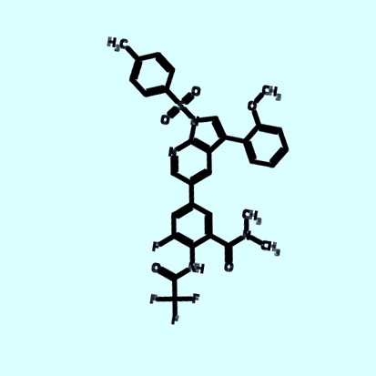 COc1ccccc1-c1cn(S(=O)(=O)c2ccc(C)cc2)c2ncc(-c3cc(F)c(NC(=O)C(F)(F)F)c(C(=O)N(C)C)c3)cc12